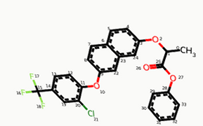 CC(Oc1ccc2ccc(Oc3ccc(C(F)(F)F)cc3Cl)cc2c1)C(=O)Oc1ccccc1